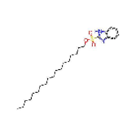 CCCCCCCCCCCCCCCCCCOS(=O)(=O)c1nc2ccccc2[nH]1